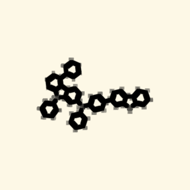 c1ccc(-c2cccc3c2c2ccc(N(c4ccccc4)c4ccc(-c5ccc6c(c5)oc5ccccc56)cc4)cc2n3-c2ccccc2)cc1